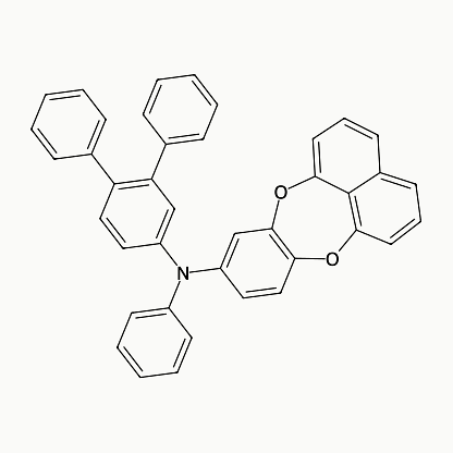 c1ccc(-c2ccc(N(c3ccccc3)c3ccc4c(c3)Oc3cccc5cccc(c35)O4)cc2-c2ccccc2)cc1